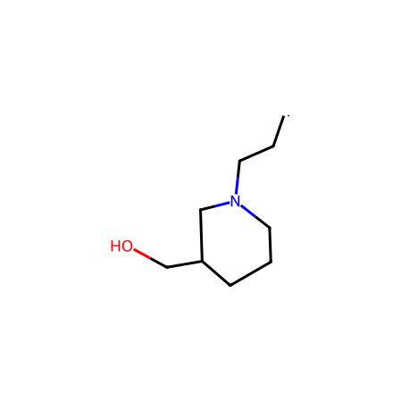 [CH2]CCN1CCCC(CO)C1